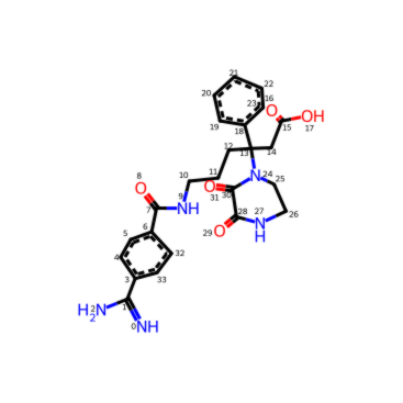 N=C(N)c1ccc(C(=O)NCCCC(CC(=O)O)(c2ccccc2)N2CCNC(=O)C2=O)cc1